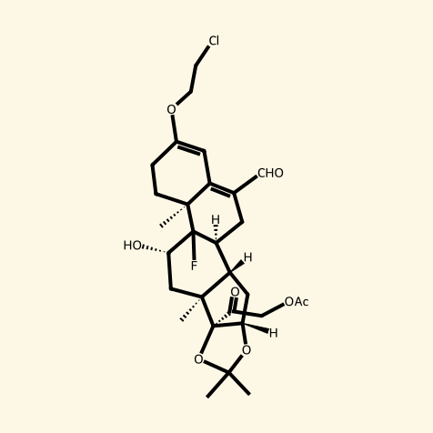 CC(=O)OCC(=O)[C@@]12OC(C)(C)O[C@H]1C[C@H]1[C@@H]3CC(C=O)=C4C=C(OCCCl)CC[C@]4(C)C3(F)[C@@H](O)C[C@@]12C